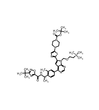 Cc1cc(-c2ncnc3c2cc(-c2ncc(N4CCN(C(=O)OC(C)(C)C)CC4)s2)n3COCC[Si](C)(C)C)ccc1[C@@H](C)NC(=O)c1nc(C(C)(C)C)no1